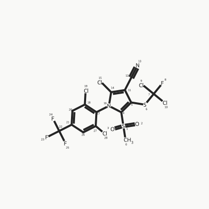 CS(=O)(=O)c1c(SC(F)(Cl)Cl)c(C#N)c(Cl)n1-c1c(Cl)cc(C(F)(F)F)cc1Cl